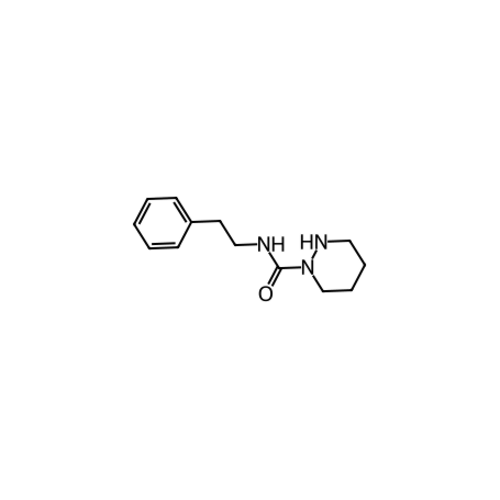 O=C(NCCc1ccccc1)N1CCCCN1